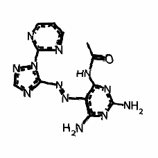 CC(=O)Nc1nc(N)nc(N)c1/N=N/c1ncnn1-c1ncccn1